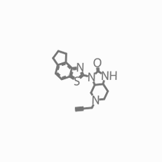 C#CCN1CCC2NC(=O)N(c3nc4c5c(ccc4s3)CCC5)C2C1